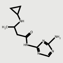 CC(CC(=O)Nc1ncnc(N)n1)NC1CC1